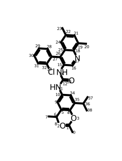 CC(=O)Oc1c(C(C)C)cc(NC(=O)Nc2cnc3c(C)cc(C)cc3c2-c2ccccc2Cl)cc1C(C)C